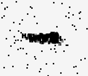 CC(C)[C@@H](C(=O)N1CC2(C[C@H]1c1nc(-c3ccc(-c4ccc(NC(=O)c5ccc(N6CCN(C(=O)[C@H]7CC7(C)C)C[C@H]6C)nc5)cc4OC(F)(F)F)cc3)c[nH]1)OCCO2)N(C)C(=O)O